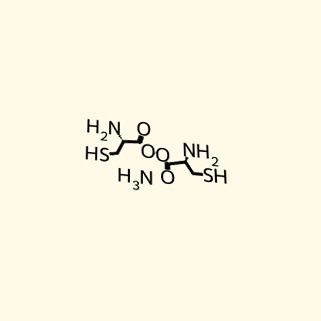 N.N[C@@H](CS)C(=O)OOC(=O)[C@@H](N)CS